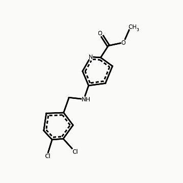 COC(=O)c1ccc(NCc2ccc(Cl)c(Cl)c2)cn1